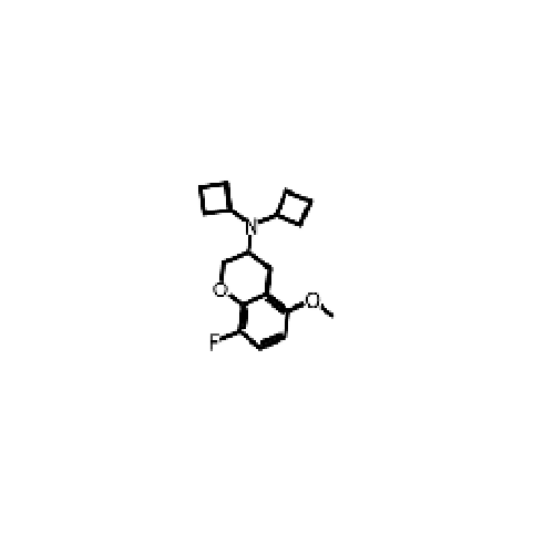 COc1ccc(F)c2c1CC(N(C1CCC1)C1CCC1)CO2